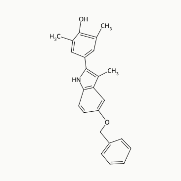 Cc1cc(-c2[nH]c3ccc(OCc4ccccc4)cc3c2C)cc(C)c1O